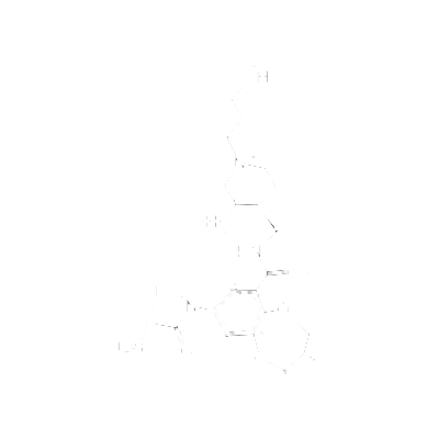 CN(C(=O)OC(C)(C)C)c1cc2c(c(C(=O)NC[C@@H]3CCN(CCCO)CC3O)c1)OCCCO2